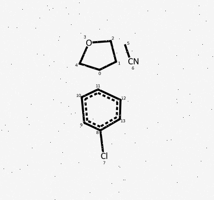 C1CCOC1.CC#N.Clc1ccccc1